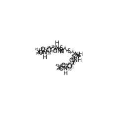 CN1NC(CCSCCc2nnc(NC(=O)Cc3ccc(NC(=O)OC(C)(C)C)cc3)s2)SC1NC(=O)Cc1ccc(NC(=O)OC(C)(C)C)cc1